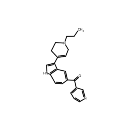 CCCN1CC=C(c2c[nH]c3ccc(C(=O)c4cccnc4)cc23)CC1